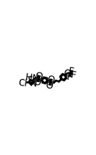 O=S(=O)(CCCc1ccc(OC(F)(F)F)cc1)c1ccc(S(=O)(=O)Nc2ncc(Cl)s2)cc1